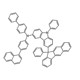 c1ccc(-c2ccc(N(c3ccc(-c4cccc5ccccc45)cc3)c3ccc4c(c3)c3cc(C5(c6ccccc6)c6ccccc6-c6cc7ccccc7cc65)ccc3n4-c3ccccc3)cc2)cc1